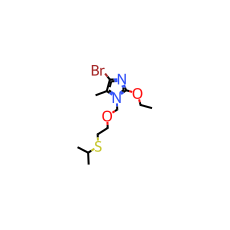 CCOc1nc(Br)c(C)n1COCCSC(C)C